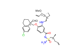 C=CC[C@H](C)C[S@](N)(=O)=NC(=O)c1ccc(OC[C@@]2(C=O)CCCc3cc(Cl)ccc32)c(NC[C@@H]2CC[C@H]2[C@H](C=C)OC)c1